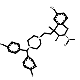 CCN(C)[C@H]1Cc2ccc(O)cc2C(C)(CCN2CCN(C(c3ccc(F)cc3)c3ccc(F)cc3)CC2)[C@@H]1C